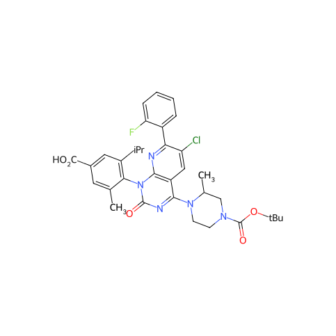 Cc1cc(C(=O)O)cc(C(C)C)c1-n1c(=O)nc(N2CCN(C(=O)OC(C)(C)C)CC2C)c2cc(Cl)c(-c3ccccc3F)nc21